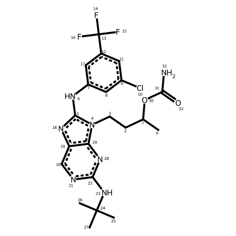 CC(CCn1c(Nc2cc(Cl)cc(C(F)(F)F)c2)nc2cnc(NC(C)(C)C)nc21)OC(N)=O